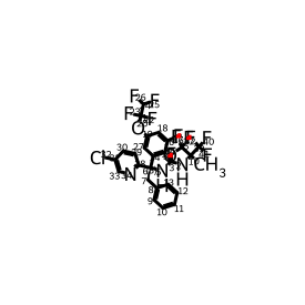 CC(NC(=O)N[C@@](Cc1ccccc1)(c1cc(F)cc(OC(F)(F)C(F)F)c1)c1ccc(Cl)cn1)(C(F)(F)F)C(F)(F)F